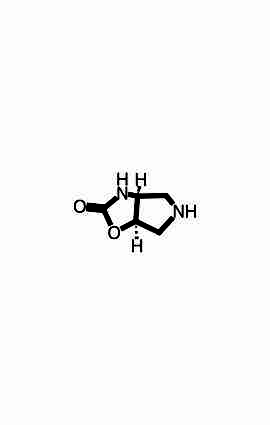 O=C1N[C@H]2CNC[C@H]2O1